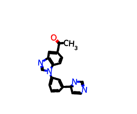 CC(=O)c1ccc2c(c1)ncn2-c1cccc(-c2ccncn2)c1